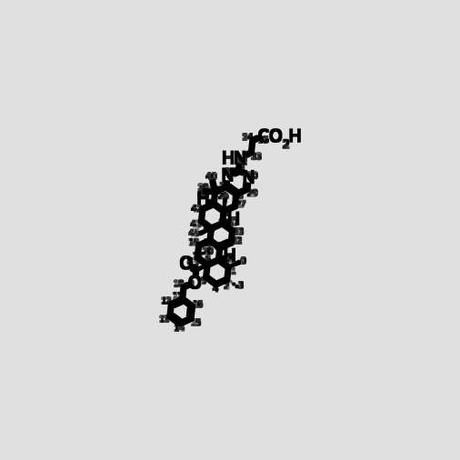 C[C@H]1[C@H](C)CC[C@]2(C(=O)OCc3ccccc3)CC[C@]3(C)C(=CC[C@@H]4[C@@]5(C)Cc6cnc(NCCC(=O)O)nc6C(C)(C)[C@@H]5CC[C@]43C)[C@H]12